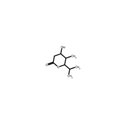 CC(C)C1OC(=O)CC(O)C1C